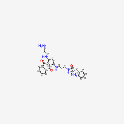 NCCCNc1ccc(NCCCNC(=O)[C@@H](N)Cc2ccccc2)c2c1C(=O)c1ccccc1C2=O